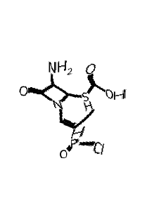 NC1C(=O)N2C=C([PH](=O)Cl)C[SH](C(=O)O)C12